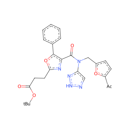 CC(=O)c1ccc(CN(C(=O)c2nc(CCC(=O)OC(C)(C)C)oc2-c2ccccc2)c2cn[nH]n2)o1